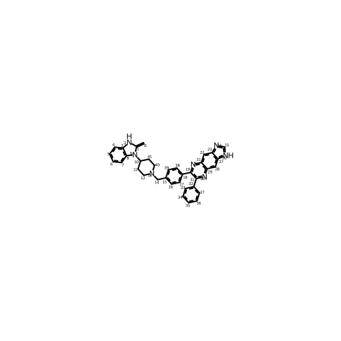 C=C1Nc2ccccc2N1C1CCN(Cc2ccc(-c3nc4cc5nc[nH]c5cc4nc3-c3ccccc3)cc2)CC1